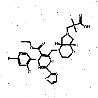 CCOC(=O)C1=C(CN2CCO[C@H]3CN(CC(C)(C)C(=O)O)C[C@H]32)NC(c2nccs2)=N[C@H]1c1ccc(F)cc1Cl